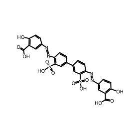 O=C(O)c1cc(N=Nc2ccc(-c3ccc(N=Nc4ccc(O)c(C(=O)O)c4)c(S(=O)(=O)O)c3)cc2S(=O)(=O)O)ccc1O